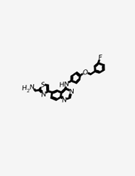 NCc1nc(-c2ccc3ncnc(Nc4ccc(OCc5cccc(F)c5)cc4)c3c2)cs1